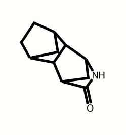 O=C1NC2CC1C1C3CCC(C3)C21